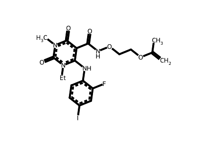 C=C(C)OCCONC(=O)c1c(Nc2ccc(I)cc2F)n(CC)c(=O)n(C)c1=O